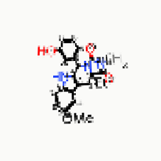 CCC12Cc3c([nH]c4ccc(OC)cc34)C(c3cccc(O)c3)N1C(=O)N(C)C2=O